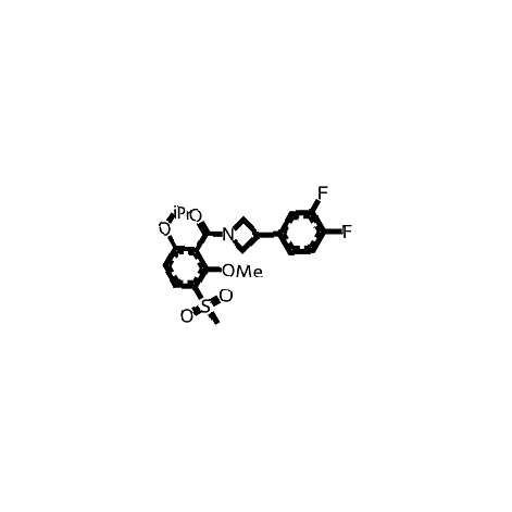 COc1c(S(C)(=O)=O)ccc(OC(C)C)c1C(=O)N1CC(c2ccc(F)c(F)c2)C1